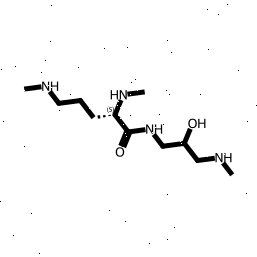 CNCCC[C@H](NC)C(=O)NCC(O)CNC